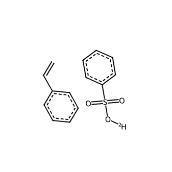 C=Cc1ccccc1.[2H]OS(=O)(=O)c1ccccc1